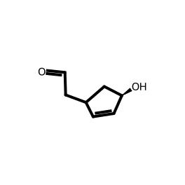 O=CCC1C=C[C@H](O)C1